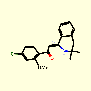 COc1cc(Cl)ccc1C(=O)/C=C1\NC(C)(C)Cc2ccccc21